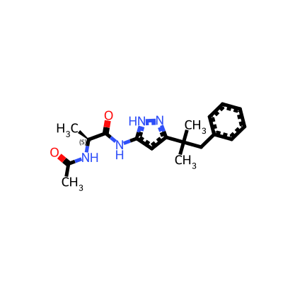 CC(=O)N[C@@H](C)C(=O)Nc1cc(C(C)(C)Cc2ccccc2)n[nH]1